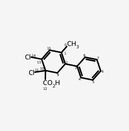 CC1=C(c2ccccc2)CC(Cl)(C(=O)O)C(Cl)=C1